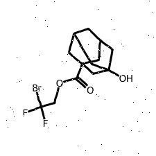 O=C(OCC(F)(F)Br)C12CC3CC(CC(O)(C3)C1)C2